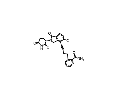 NC(=O)c1ncccc1CCC#Cc1c(Cl)ccc2c1CN(C1CCC(=O)NC1=O)C2=O